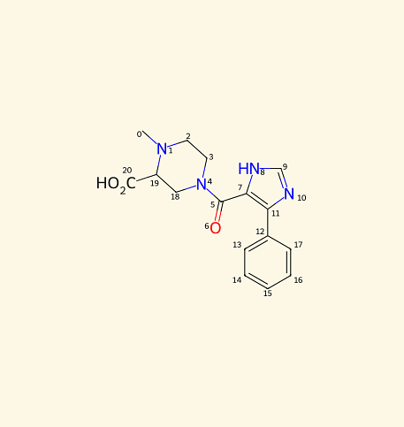 CN1CCN(C(=O)c2[nH]cnc2-c2ccccc2)CC1C(=O)O